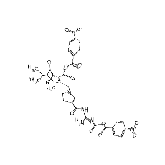 CC(C)[C@H]1C(=O)N2C(C(=O)OC(=O)c3ccc([N+](=O)[O-])cc3)=C(CN3CC[C@H](C(=O)N/C(N)=N/C(=O)OC(=O)c4ccc([N+](=O)[O-])cc4)C3)[C@H](C)[C@H]12